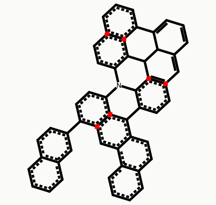 C1=CC2=CC=CC(c3ccccc3N(c3ccc(-c4ccc5ccccc5c4)cc3)c3ccccc3-c3cccc4c3ccc3ccccc34)C2C(c2ccccc2)=C1